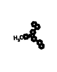 Cc1ccc(-n2c3ccc(-c4ccc5ccccc5c4)cc3c3cc(-c4cccc5ccccc45)ccc32)cc1